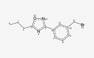 CCCc1nc(-c2cccc(CBr)c2)no1